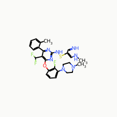 CN/C=C(\C=N)SNc1nc(Oc2cccc(N3CCN(C)CC3)c2F)c(C(F)F)c(-c2ccccc2C)n1